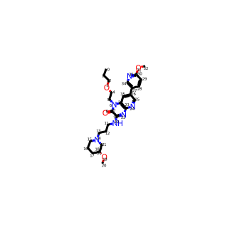 CCCOCCn1c(=O)c(NCCCN2CCC[C@@H](OC)C2)nc2ncc(-c3ccc(OC)nc3)cc21